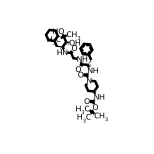 CC(C)(C)OC(=O)NC1CCN(C(=O)N[C@@H](Cc2ccccc2)C(=O)NCC(=O)N[C@@H](CC2CCCCC2)[C@H](O)C(C)(C)O)CC1